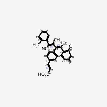 CC/C(=C(\C(C)=C(/C#N)c1ccccc1C)c1ccc(/C=C/C(=O)O)cc1)c1ccc(F)cc1Cl